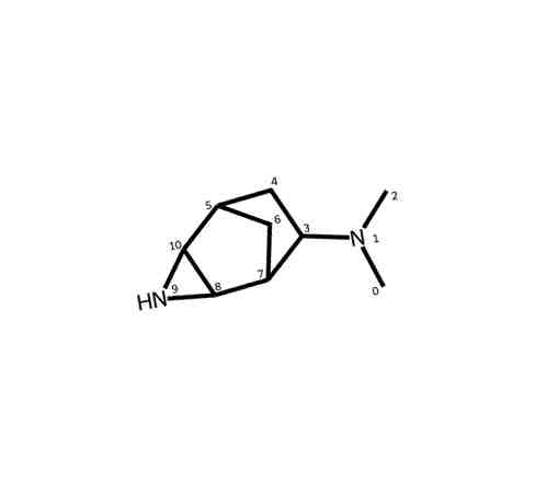 CN(C)C1CC2CC1C1NC21